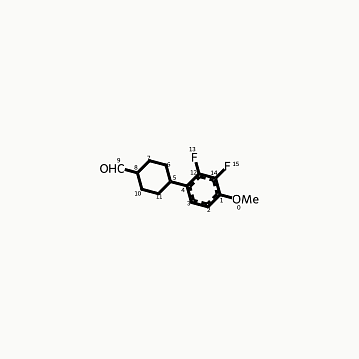 COc1ccc(C2CCC(C=O)CC2)c(F)c1F